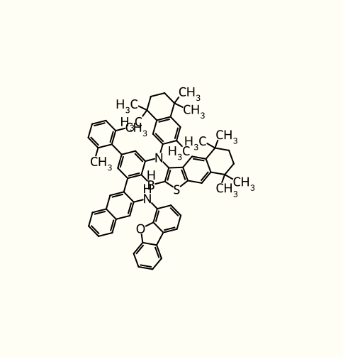 Cc1cc2c(cc1N1c3cc(-c4c(C)cccc4C)cc(-c4cc5ccccc5cc4Nc4cccc5c4oc4ccccc45)c3Bc3sc4cc5c(cc4c31)C(C)(C)CCC5(C)C)C(C)(C)CCC2(C)C